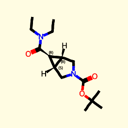 CCN(CC)C(=O)[C@H]1[C@@H]2CN(C(=O)OC(C)(C)C)C[C@@H]21